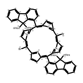 CCCCCCC1(CCCCCC)c2ccccc2-c2cccc(C3=C4C=CC(=N4)C(Br)=C4C=CC(=N4)C(c4cccc5c4C(CCCCCC)(CCCCCC)c4ccccc4-5)=C4C=CC(=N4)C(Br)=C4C=CC3=N4)c21